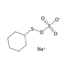 O=S(=O)([O-])OSC1CCCCC1.[Na+]